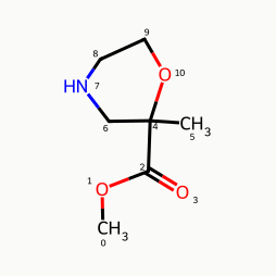 COC(=O)C1(C)CNCCO1